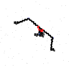 CCCCCCCC/C=C\CCCCCCCCOCC(COCCCCCCCC/C=C\CCCCCCCC)OC(=O)C[N+](C)(C)C